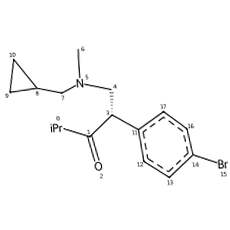 CC(C)C(=O)[C@H](CN(C)CC1CC1)c1ccc(Br)cc1